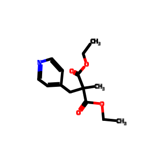 CCOC(=O)C(C)(Cc1ccncc1)C(=O)OCC